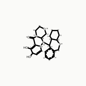 O=C1C2=C(O)C(O)C=CN2N(C2c3ccccc3CSC3CCCCC32)C2COCCN12